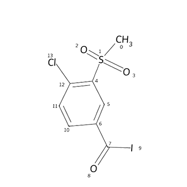 CS(=O)(=O)c1cc(C(=O)I)ccc1Cl